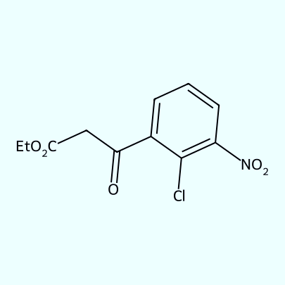 CCOC(=O)CC(=O)c1cccc([N+](=O)[O-])c1Cl